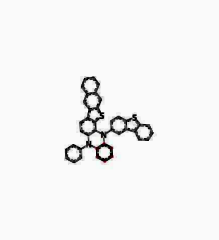 c1ccc(N(c2ccccc2)c2ccc3c(sc4cc5ccccc5cc43)c2N(c2ccccc2)c2ccc3sc4ccccc4c3c2)cc1